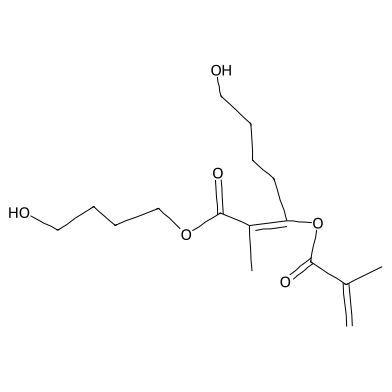 C=C(C)C(=O)OC(CCCCO)=C(C)C(=O)OCCCCO